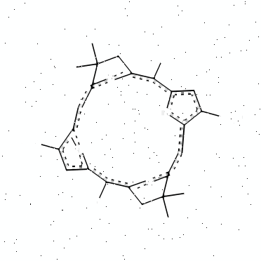 CCOC(=O)c1cc2[nH]c1cc1nc(c(CC)c3cc(C(=O)OCC)c(cc4nc(c2CC)CC4(C)C)[nH]3)CC1(C)C